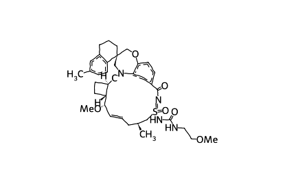 COCCNC(=O)N[S@@]1(=O)=NC(=O)c2ccc3c(c2)N(C[C@@H]2CC[C@H]2[C@@H](OC)/C=C/C[C@H](C)C1)C[C@@]1(CCCc2cc(C)ccc21)CO3